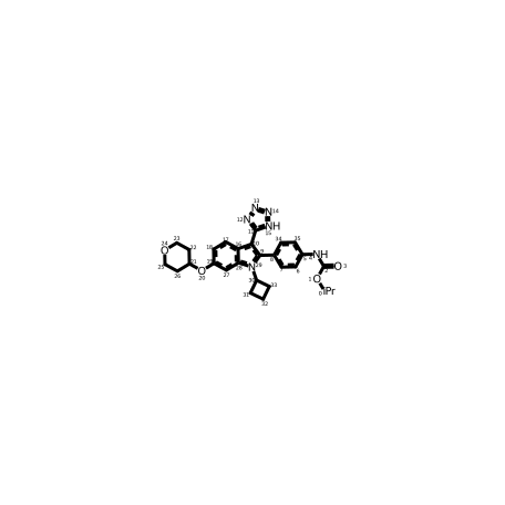 CC(C)OC(=O)Nc1ccc(-c2c(-c3nnn[nH]3)c3ccc(OC4CCOCC4)cc3n2C2CCC2)cc1